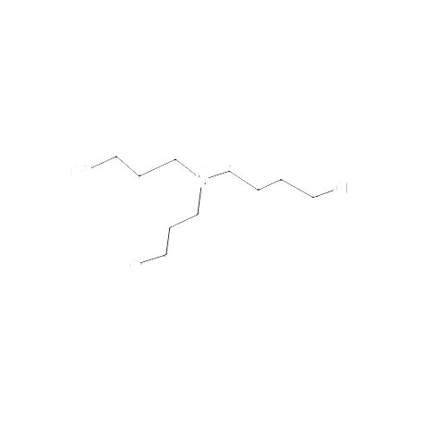 C[CH]CCCN(CCCC)CCCC